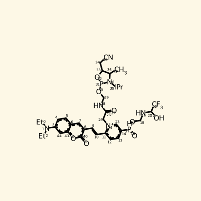 CCN(CC)c1ccc2cc(/C=C/c3ccc([PH](=O)OCNC(O)C(F)(F)F)c[n+]3CC(=O)NCOP3OC(CC#N)C(C)N3C(C)C)c(=O)oc2c1